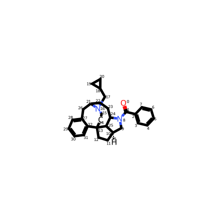 O=C(c1ccccc1)N1C[C@H]2CCC34CCN(CC5CC5)C(CCC1C23)Cc1ccccc14